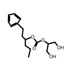 CCCC(CCc1ccccc1)OC(=O)OC(CO)CO